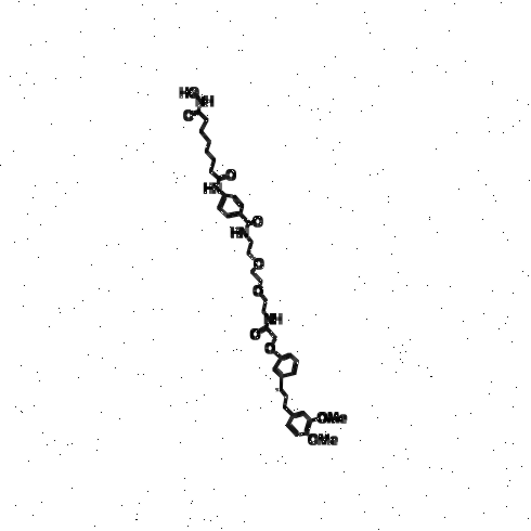 COc1ccc(CC[CH]c2cccc(OCC(=O)NCCOCCOCCNC(=O)c3ccc(NC(=O)CCCCCCC(=O)NO)cc3)c2)cc1OC